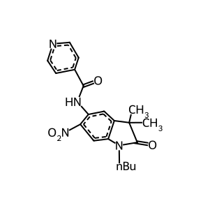 CCCCN1C(=O)C(C)(C)c2cc(NC(=O)c3ccncc3)c([N+](=O)[O-])cc21